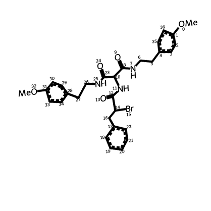 COc1ccc(CCNC(=O)C(NC(=O)C(Br)Cc2ccccc2)C(=O)NCCc2ccc(OC)cc2)cc1